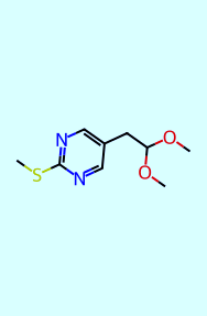 COC(Cc1cnc(SC)nc1)OC